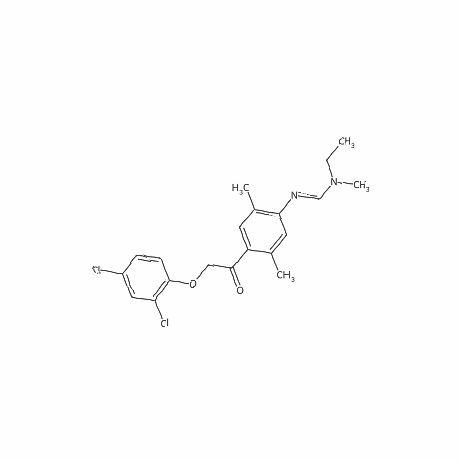 CCN(C)C=Nc1cc(C)c(C(=O)COc2ccc(Cl)cc2Cl)cc1C